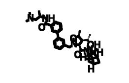 CC(CN(C)C)NC(=O)c1cccc(-c2cccc(CN3O[C@@H](C)[C@@H]([C@H](C)O)[C@H]3C(=O)N[C@H]3C[C@H]4C[C@@H]([C@@H]3C)C4(C)C)c2)c1